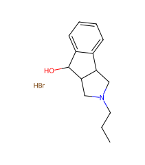 Br.CCCN1CC2c3ccccc3C(O)C2C1